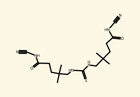 CC(C)(CCC(=O)NC#N)CNC(=S)NCC(C)(C)CCC(=O)NC#N